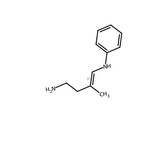 C/C(=C\Nc1ccccc1)CCN